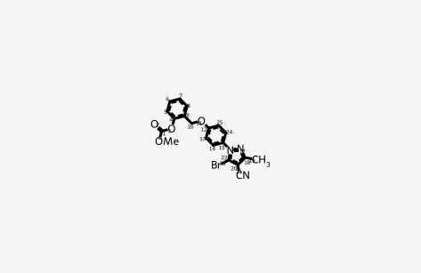 COC(=O)Oc1ccccc1COc1ccc(-n2nc(C)c(C#N)c2Br)cc1